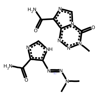 CN(C)/N=N/c1[nH]cnc1C(N)=O.Cn1nnc2c(C(N)=O)ncn2c1=O